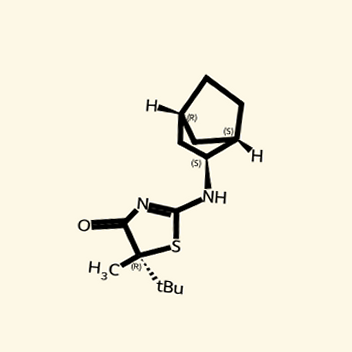 CC(C)(C)[C@@]1(C)SC(N[C@H]2C[C@@H]3CC[C@H]2C3)=NC1=O